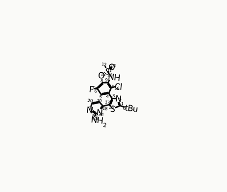 CC(C)(C)c1nc(-c2cc(F)cc(NS(C)(=O)=O)c2Cl)c(-c2ccnc(N)n2)s1